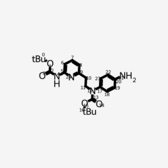 CC(C)(C)OC(=O)Nc1cccc(CCN(C(=O)OC(C)(C)C)c2ccc(N)cc2)n1